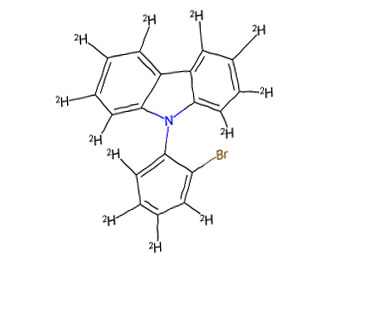 [2H]c1c([2H])c([2H])c(-n2c3c([2H])c([2H])c([2H])c([2H])c3c3c([2H])c([2H])c([2H])c([2H])c32)c(Br)c1[2H]